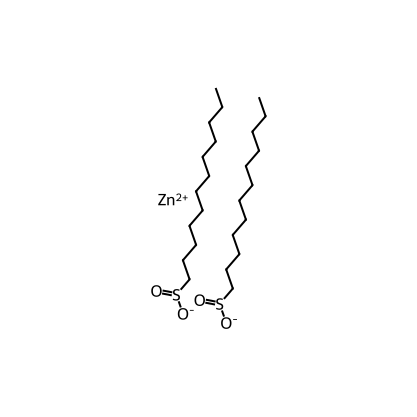 CCCCCCCCCCCCS(=O)[O-].CCCCCCCCCCCCS(=O)[O-].[Zn+2]